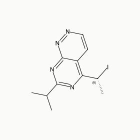 CC(C)c1nc([C@@H](C)I)c2ccnnc2n1